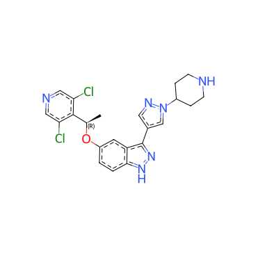 C[C@@H](Oc1ccc2[nH]nc(-c3cnn(C4CCNCC4)c3)c2c1)c1c(Cl)cncc1Cl